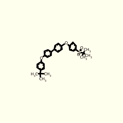 CC(C)(C)c1ccc(Oc2ccc(-c3ccc(Oc4ccc(S(=O)(=O)C(C)(C)C)cc4)cc3)cc2)cc1